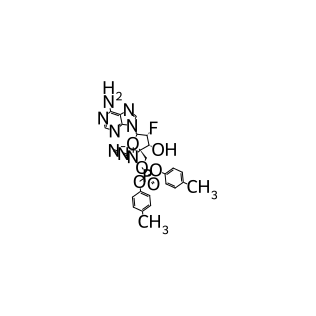 Cc1ccc(OP(=O)(OC[C@@]2(N=[N+]=[N-])O[C@@H](n3cnc4c(N)ncnc43)[C@H](F)[C@@H]2O)Oc2ccc(C)cc2)cc1